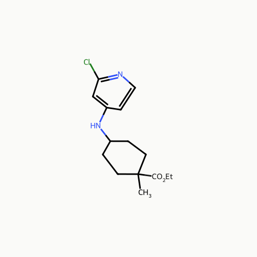 CCOC(=O)C1(C)CCC(Nc2ccnc(Cl)c2)CC1